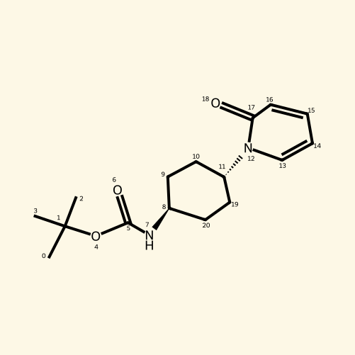 CC(C)(C)OC(=O)N[C@H]1CC[C@H](n2ccccc2=O)CC1